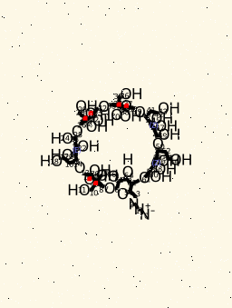 [N-]=[N+]=NCC1OC2OC3C(CO)OC(OC(CCO)/C(O)=C(\O)C(O)OC4C(CO)OC(OC5C(CO)OC(OC(CCO)/C(O)=C(/O)C(O)OC(CCO)/C(O)=C(/O)C(O)OC1C(O)C2O)C(O)C5O)C(O)C4O)C(O)C3O